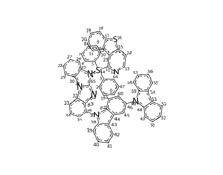 c1ccc([Si](c2ccccc2)(c2nccc3sc4ccccc4c23)n2c3ccccc3n3c4cccc(-n5c6ccccc6c6cc(-n7c8ccccc8c8ccccc87)ccc65)c4nc23)cc1